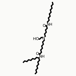 CCCCCCCCCCCNC(=O)CCCCCN(CCO)CCCCCCCC(=O)NC(CCCCCCCC)CCCCCCCC